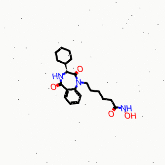 O=C(CCCCCN1C(=O)[C@H](C2CCCCC2)NC(=O)c2ccccc21)NO